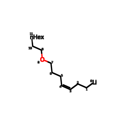 [Li][CH2]C/C=C\CCCOCCCCCCCC